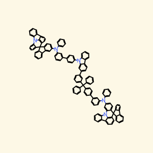 c1ccc(N(c2cccc(-c3ccc(-n4c5ccccc5c5ccc(-c6cccc(C(c7ccccc7)(c7ccccc7)c7ccc(-c8cccc(N(c9ccccc9)c9ccc%10c(c9)-n9c%11ccccc%11c%11cccc(c%119)C%109c%10ccccc%10-c%10ccccc%109)c8)cc7)c6)cc54)cc3)c2)c2ccc3c(c2)-c2ccccc2C32c3ccccc3-n3c4ccccc4c4cccc2c43)cc1